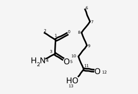 C=C(C)C(N)=O.CCCCCC(=O)O